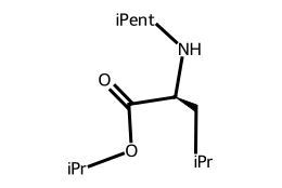 CCCC(C)N[C@@H](CC(C)C)C(=O)OC(C)C